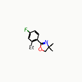 CCc1cc(F)ccc1C1=NC(C)(C)CO1